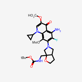 COc1c(N2CC3CCOC3(CNC(=O)OC(C)(C)C)C2)c(F)c(N)c2c(=O)c(OC(=O)O)cn(C3CC3)c12